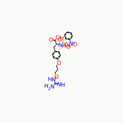 N=C(N)NOCCCOc1ccc(C[C@H](NS(=O)(=O)c2ccccc2[N+](=O)[O-])C(=O)O)cc1